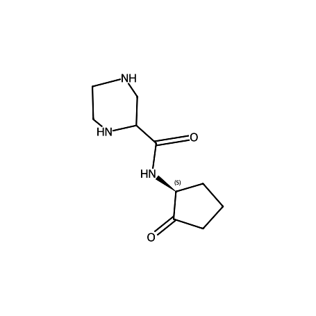 O=C(N[C@H]1CCCC1=O)C1CNCCN1